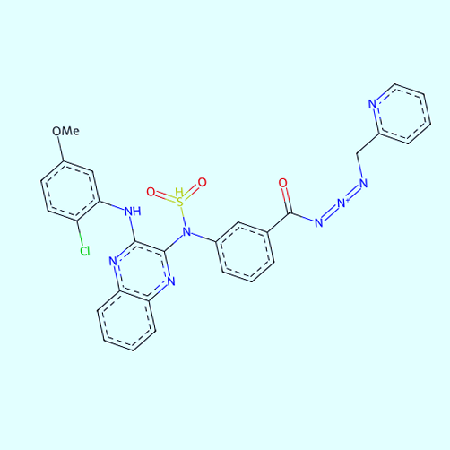 COc1ccc(Cl)c(Nc2nc3ccccc3nc2N(c2cccc(C(=O)N=[N+]=NCc3ccccn3)c2)[SH](=O)=O)c1